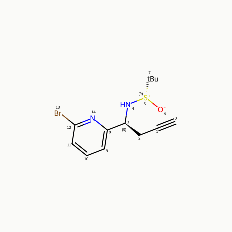 C#CC[C@H](N[S@@+]([O-])C(C)(C)C)c1cccc(Br)n1